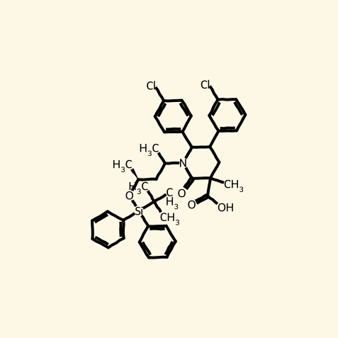 CC(C[C@H](C)O[Si](c1ccccc1)(c1ccccc1)C(C)(C)C)N1C(=O)C(C)(C(=O)O)CC(c2cccc(Cl)c2)C1c1ccc(Cl)cc1